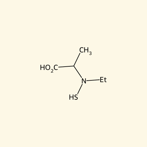 CCN(S)C(C)C(=O)O